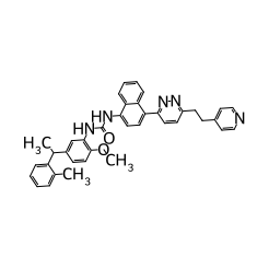 COc1ccc(C(C)c2ccccc2C)cc1NC(=O)Nc1ccc(-c2ccc(CCc3ccncc3)nn2)c2ccccc12